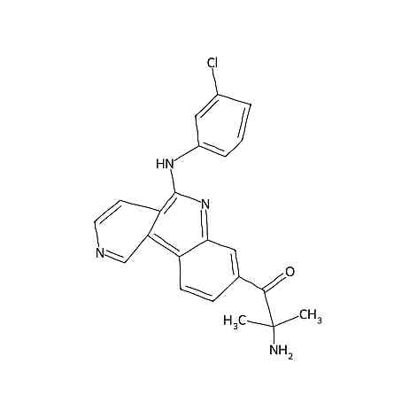 CC(C)(N)C(=O)c1ccc2c(c1)nc(Nc1cccc(Cl)c1)c1ccncc12